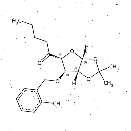 CCCCC(=O)[C@H]1O[C@@H]2OC(C)(C)O[C@@H]2[C@H]1OCc1ccccc1C